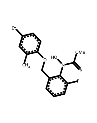 CCc1ccc(OCc2cccc(F)c2N(O)C(=S)OC)c(C)c1